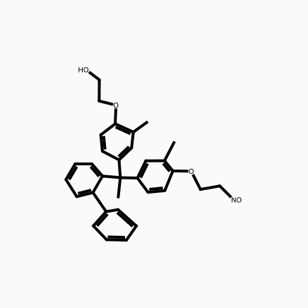 Cc1cc(C(C)(c2ccc(OCCN=O)c(C)c2)c2ccccc2-c2ccccc2)ccc1OCCO